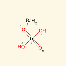 O=[Te](=O)(O)O.[BaH2]